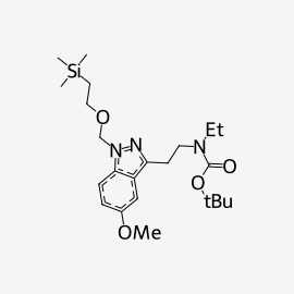 CCN(CCc1nn(COCC[Si](C)(C)C)c2ccc(OC)cc12)C(=O)OC(C)(C)C